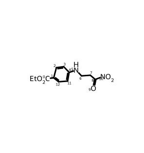 CCOC(=O)c1ccc(NCCC(=O)[N+](=O)[O-])cc1